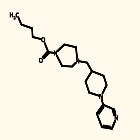 CCCCOC(=O)N1CCN(CC2CCN(c3cccnc3)CC2)CC1